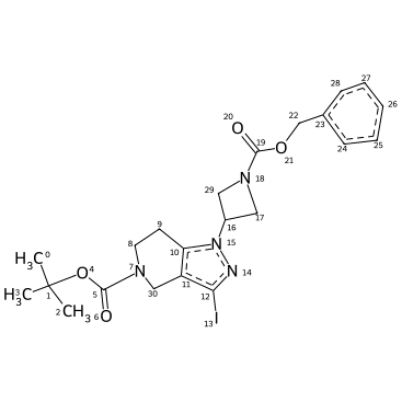 CC(C)(C)OC(=O)N1CCc2c(c(I)nn2C2CN(C(=O)OCc3ccccc3)C2)C1